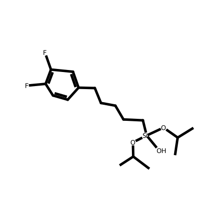 CC(C)O[Si](O)(CCCCCc1ccc(F)c(F)c1)OC(C)C